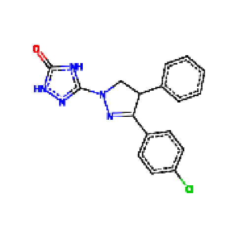 O=c1[nH]nc(N2CC(c3ccccc3)C(c3ccc(Cl)cc3)=N2)[nH]1